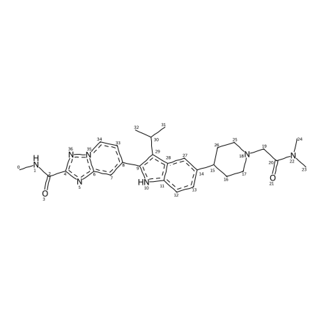 CNC(=O)c1nc2cc(-c3[nH]c4ccc(C5CCN(CC(=O)N(C)C)CC5)cc4c3C(C)C)ccn2n1